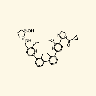 COc1nc(-c2cccc(-c3cccc(-c4ccc(C5=NCCN5C(=O)C5CC5)c(OC)n4)c3C)c2C)ccc1CN[C@@H]1CCC[C@@H]1O